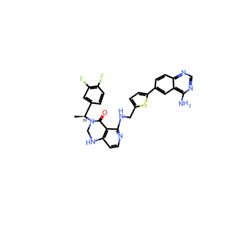 C[C@@H](c1ccc(F)c(F)c1)N1CNc2ccnc(NCc3ccc(-c4ccc5ncnc(N)c5c4)s3)c2C1=O